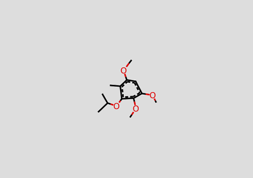 COc1cc(OC)c(OC)c(OC(C)C)c1C